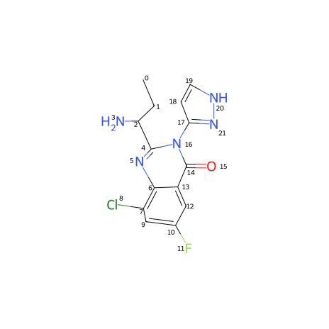 CCC(N)c1nc2c(Cl)cc(F)cc2c(=O)n1-c1cc[nH]n1